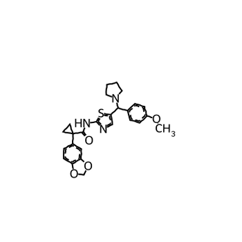 COc1ccc(C(c2cnc(NC(=O)C3(c4ccc5c(c4)OCO5)CC3)s2)N2CCCC2)cc1